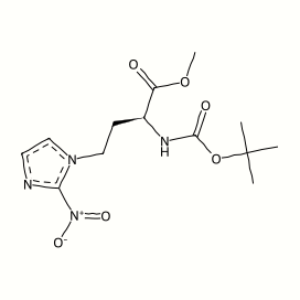 COC(=O)[C@H](CCn1ccnc1[N+](=O)[O-])NC(=O)OC(C)(C)C